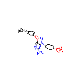 CCCCc1ccc(Oc2cnc(N)nc2N[C@H]2CC[C@H](O)CC2)cc1